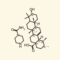 C[C@H]1[C@H](C)CC[C@]2(C(=O)O)CC[C@]3(C)C(=CC[C@@H]4[C@@]5(C)CC[C@H](O)C(C)(C)C5CC[C@]43C)[C@H]12.NC(=O)N1CCNCC1